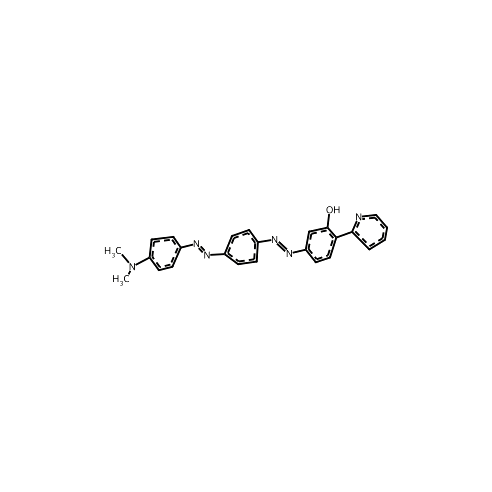 CN(C)c1ccc(/N=N/c2ccc(/N=N/c3ccc(-c4ccccn4)c(O)c3)cc2)cc1